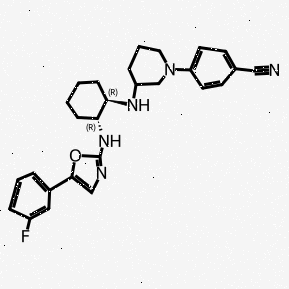 N#Cc1ccc(N2CCCC(N[C@@H]3CCCC[C@H]3Nc3ncc(-c4cccc(F)c4)o3)C2)cc1